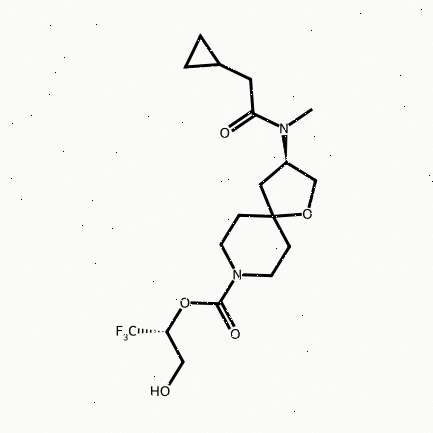 CN(C(=O)CC1CC1)[C@H]1COC2(CCN(C(=O)O[C@H](CO)C(F)(F)F)CC2)C1